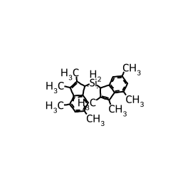 CC1=C(C)c2c(C)cc(C)cc2[C]1[SiH2][C]1C(C)=C(C)c2c(C)cc(C)cc21